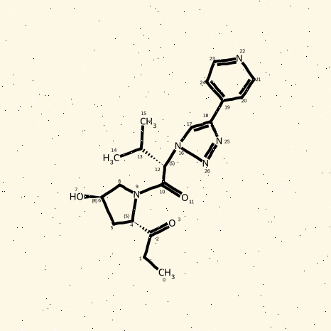 CCC(=O)[C@@H]1C[C@@H](O)CN1C(=O)[C@H](C(C)C)n1cc(-c2ccncc2)nn1